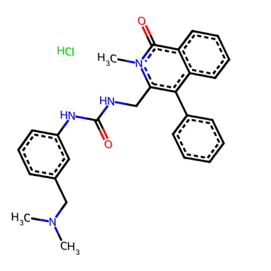 CN(C)Cc1cccc(NC(=O)NCc2c(-c3ccccc3)c3ccccc3c(=O)n2C)c1.Cl